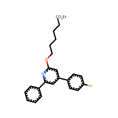 CCOC(=O)CCCCCOc1cc(-c2ccc(F)cc2)cc(-c2ccccc2)n1